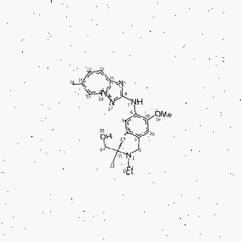 CCN(Cc1ccc(Nc2nc3ccc(C)cn3n2)c(OC)c1)C(C)(C)CO